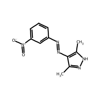 Cc1n[nH]c(C)c1/N=N/c1cccc([N+](=O)[O-])c1